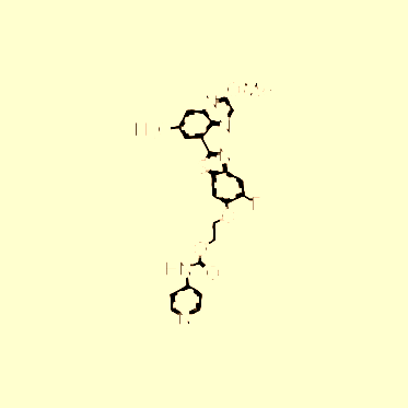 COc1cnc2c(-c3nc4cc(F)c(OCCOC(=O)Nc5ccncc5)cc4s3)cc(C)cc2n1